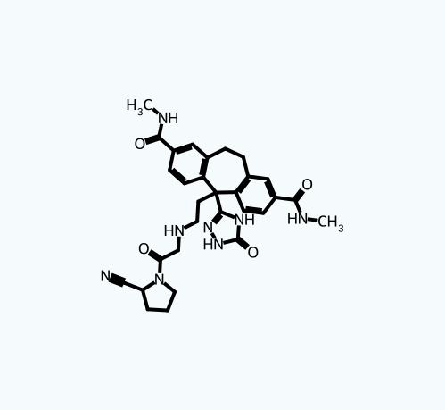 CNC(=O)c1ccc2c(c1)CCc1cc(C(=O)NC)ccc1C2(CCNCC(=O)N1CCCC1C#N)c1n[nH]c(=O)[nH]1